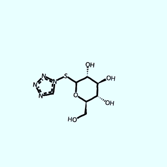 OC[C@H]1OC(Sn2cnnn2)[C@H](O)[C@@H](O)[C@@H]1O